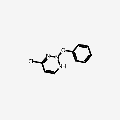 ClC1=NN(Oc2ccccc2)N[C]=C1